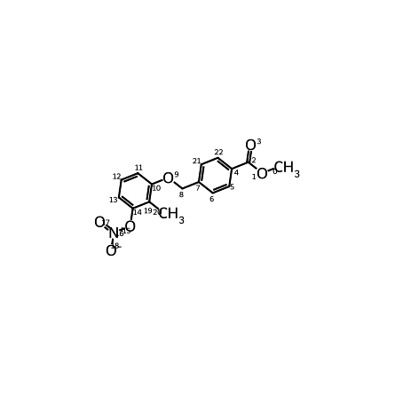 COC(=O)c1ccc(COc2cccc(O[N+](=O)[O-])c2C)cc1